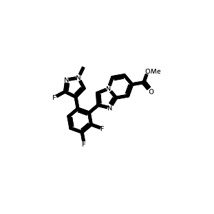 COC(=O)c1ccn2cc(-c3c(-c4cn(C)nc4F)ccc(F)c3F)nc2c1